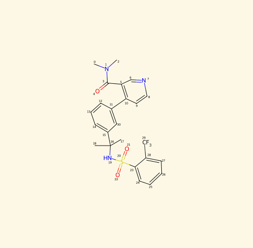 CN(C)C(=O)c1cnccc1-c1cccc(C(C)(C)NS(=O)(=O)c2ccccc2C(F)(F)F)c1